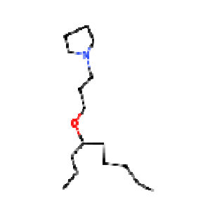 CCCCCC(CCC)OCCCN1CCCC1